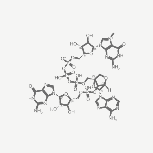 C[n+]1cn([C@@H]2O[C@H](COP(=O)([O-])OP(=O)(O)OP(=O)(O)OC[C@@]34CO[C@@H](C3OP(=O)(O)OC[C@H]3O[C@@H](n5cnc6c(=O)[nH]c(N)nc65)[C@@H](O)C3O)[C@H](n3cnc5c(N)ncnc53)O4)[C@H](O)C2O)c2nc(N)[nH]c(=O)c21